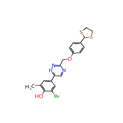 Cc1cc(-c2cnc(COc3ccc(C4SCCS4)cc3)nn2)cc(Br)c1O